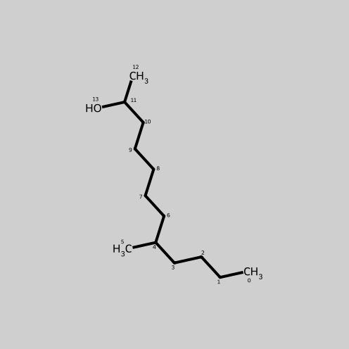 CCCCC(C)CCCCCC(C)O